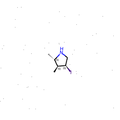 C[C@@H]1[C@H](I)CN[C@H]1C